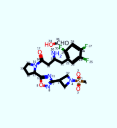 CS(=O)(=O)N1CC(c2noc(C3CCCN3C(=O)CC(N)Cc3cc(F)c(F)cc3F)n2)C1.O=CO